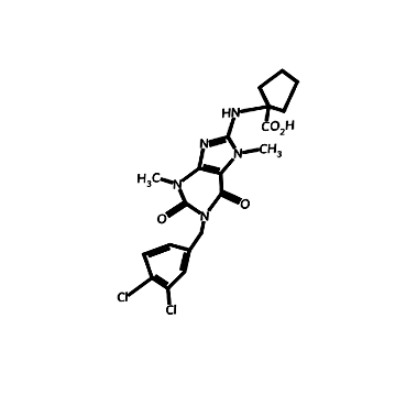 Cn1c(NC2(C(=O)O)CCCC2)nc2c1c(=O)n(Cc1ccc(Cl)c(Cl)c1)c(=O)n2C